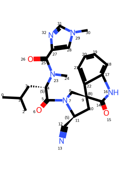 CC(C)C[C@@H](C(=O)N1C[C@]2(C[C@H]1C#N)C(=O)Nc1ccccc12)N(C)C(=O)c1cn(C)cn1